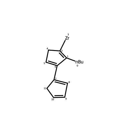 CCCCC1=[C]([Zr])CC=C1C1=CC=CC1